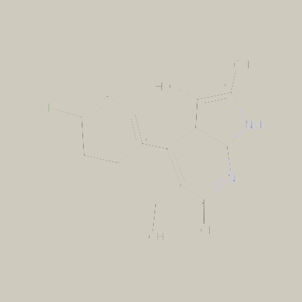 CCC1=C(C2=CC=C(Cl)CC2)C2C(C)=C(C)NC2N=C1C